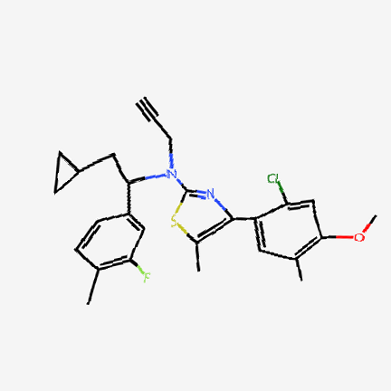 C#CCN(c1nc(-c2cc(C)c(OC)cc2Cl)c(C)s1)C(CC1CC1)c1ccc(C)c(F)c1